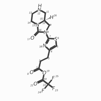 O=C(CCc1csc(N2C[C@@H]3CNCCN3C2=O)n1)OC(=O)C(F)(F)F